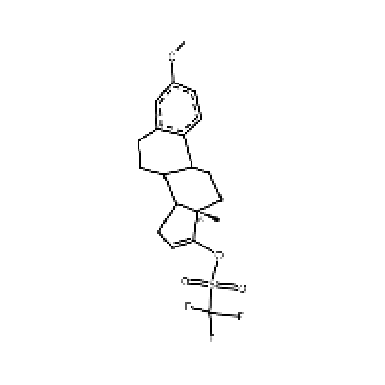 COc1ccc2c(c1)CCC1C2CC[C@]2(C)C(OS(=O)(=O)C(F)(F)F)=CCC12